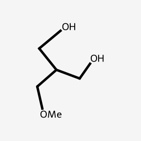 COCC(CO)CO